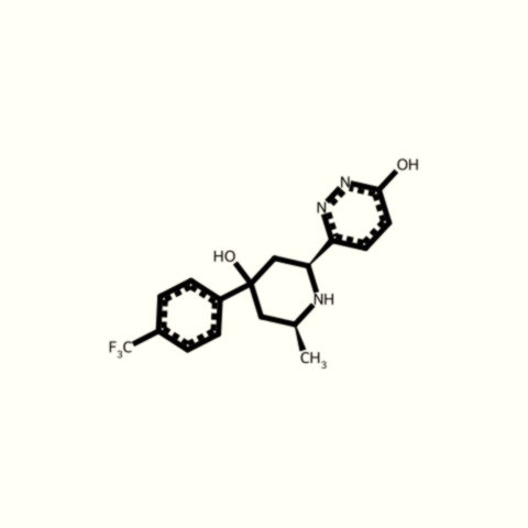 C[C@H]1CC(O)(c2ccc(C(F)(F)F)cc2)C[C@@H](c2ccc(O)nn2)N1